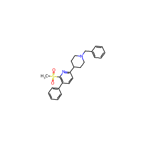 CS(=O)(=O)c1nc(C2CCN(Cc3ccccc3)CC2)ccc1-c1ccccc1